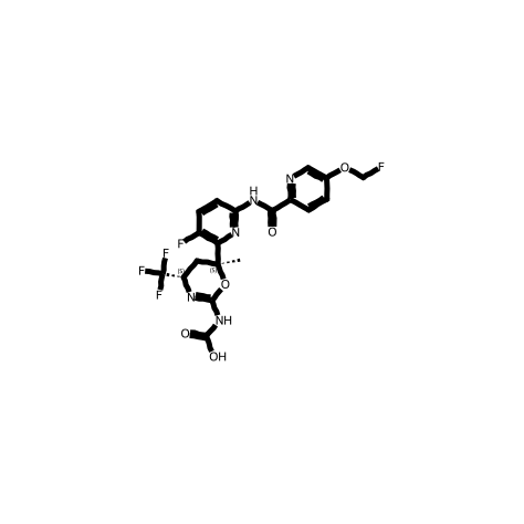 C[C@@]1(c2nc(NC(=O)c3ccc(OCF)cn3)ccc2F)C[C@@H](C(F)(F)F)N=C(NC(=O)O)O1